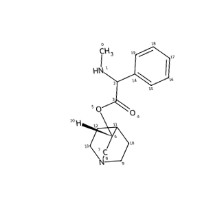 CNC(C(=O)O[C@H]1CN2CCC1CC2)c1ccccc1